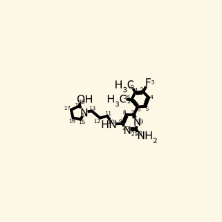 Cc1c(F)ccc(-c2cc(NCCCN3CCCC3O)nc(N)n2)c1C